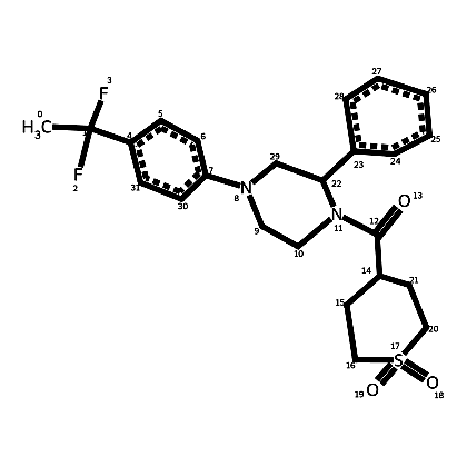 CC(F)(F)c1ccc(N2CCN(C(=O)C3CCS(=O)(=O)CC3)C(c3ccccc3)C2)cc1